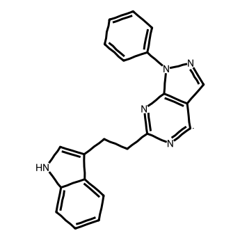 [c]1nc(CCc2c[nH]c3ccccc23)nc2c1cnn2-c1ccccc1